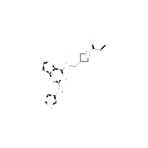 C=CC(=O)N1CC(CNc2nc(Nc3cnoc3)nc3ccsc23)C1